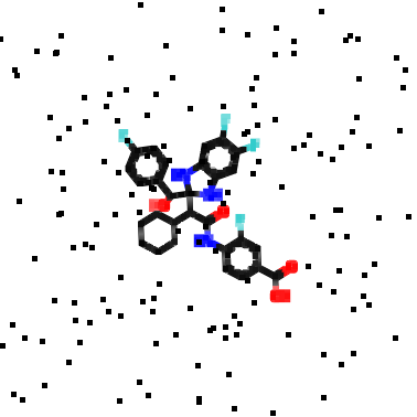 O=C(O)c1ccc(NC(=O)C(C2CCCCC2)C2(C(O)c3ccc(F)cc3)Nc3cc(F)c(F)cc3N2)c(F)c1